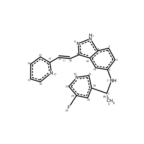 C[C@@H](Nc1ccc2[nH]nc(/C=C/c3ccccn3)c2c1)c1cncc(F)c1